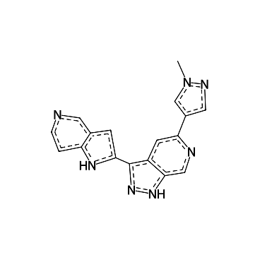 Cn1cc(-c2cc3c(-c4cc5cnccc5[nH]4)n[nH]c3cn2)cn1